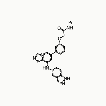 CC(C)NC(=O)COc1cccc(-c2cc(Nc3ccc4[nH]ncc4c3)c3cncn3c2)c1